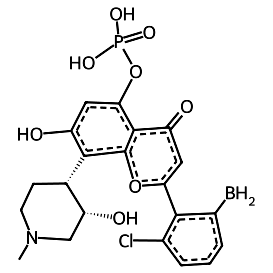 Bc1cccc(Cl)c1-c1cc(=O)c2c(OP(=O)(O)O)cc(O)c([C@H]3CCN(C)C[C@H]3O)c2o1